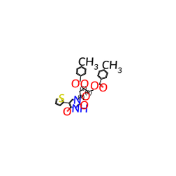 Cc1ccc(C(=O)OC[C@H]2O[C@@H](n3cc(-c4cccs4)c(=O)[nH]c3=O)C[C@@H]2OC(=O)c2ccc(C)cc2)cc1